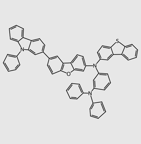 c1ccc(N(c2ccccc2)c2cccc(N(c3ccc4c(c3)oc3ccc(-c5ccc6c7ccccc7n(-c7ccccc7)c6c5)cc34)c3ccc4sc5ccccc5c4c3)c2)cc1